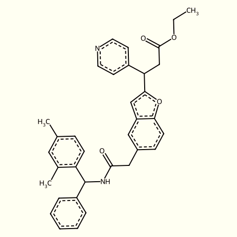 CCOC(=O)CC(c1ccncc1)c1cc2cc(CC(=O)NC(c3ccccc3)c3ccc(C)cc3C)ccc2o1